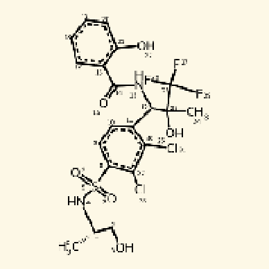 C[C@@H](CO)NS(=O)(=O)c1ccc(C(NC(=O)c2ccccc2O)C(C)(O)C(F)(F)F)c(Cl)c1Cl